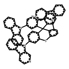 c1cc2c(c(-n3c4ccccc4c4ccncc43)c1)C1(c3ccc(-n4c5ccccc5c5ccncc54)cc3S2)c2cccnc2-c2ncc(-n3c4ccccc4c4ccccc43)cc21